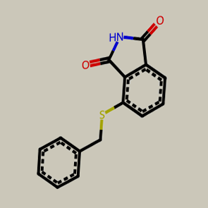 O=C1NC(=O)c2c(SCc3ccccc3)cccc21